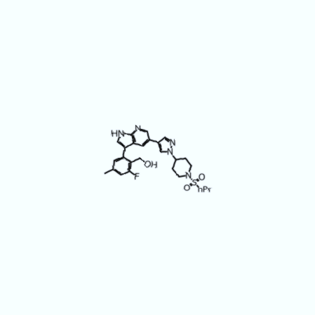 CCCS(=O)(=O)N1CCC(n2cc(-c3cnc4[nH]cc(-c5cc(C)cc(F)c5CO)c4c3)cn2)CC1